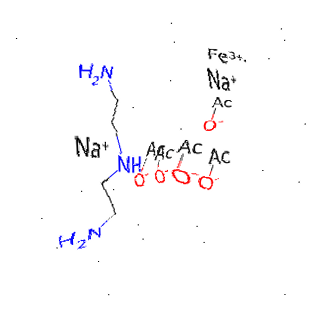 CC(=O)[O-].CC(=O)[O-].CC(=O)[O-].CC(=O)[O-].CC(=O)[O-].NCCNCCN.[Fe+3].[Na+].[Na+]